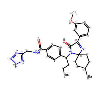 CC(C)(C)CCC(c1ccc(C(=O)NCc2nn[nH]n2)cc1)N1C(=O)C(c2cccc(OC(F)(F)F)c2)=NC12CCC(C(C)(C)C)CC2